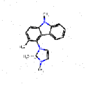 Cc1ccc2c(c1N1C=CN(C)[C@@H]1C)c1ccccc1n2C